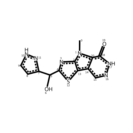 Cn1c2nc(C(O)c3cc[nH]n3)sc2c2cn[nH]c(=O)c21